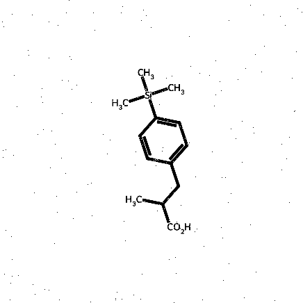 CC(Cc1ccc([Si](C)(C)C)cc1)C(=O)O